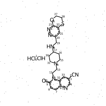 Cl.Cl.N#Cc1cnc2ccc(=O)n(CCN3CCC(NCc4cc5c(nn4)OCCS5)CC3)c2c1